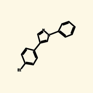 CCc1ccc(-c2cnn(-c3ccccc3)c2)cc1